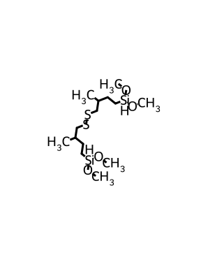 CO[SiH](CCC(C)CSSCC(C)CC[SiH](OC)OC)OC